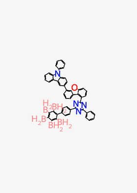 Bc1c(B)c(B)c(-c2ccc(-c3nc(-c4ccccc4)nc(-c4cccc5oc6c(-c7ccc8c(c7)c7ccccc7n8-c7ccccc7)cccc6c45)n3)cc2)c(B)c1B